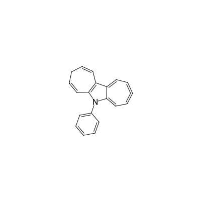 C1=CC=c2c3c(n(-c4ccccc4)c2=CC=1)C=CCC=C3